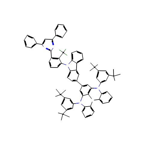 CC(C)(C)c1cc(N2c3ccccc3B3c4ccccc4N(c4cc(C(C)(C)C)cc(C(C)(C)C)c4)c4cc(-c5ccc6c(c5)c5ccccc5n6-c5cccc(-c6nc(-c7ccccc7)cc(-c7ccccc7)n6)c5C(F)(F)F)cc2c43)cc(C(C)(C)C)c1